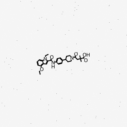 CCOc1cccc2c1cc(C(=O)Nc1ccc(C3CCN(C(=O)CC(C)(C)C(=O)O)CC3)cc1)n2CC